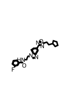 O=C(NCCn1cnc2cc(-c3noc(CCC4CCCC4)n3)ccc21)c1cccc(F)c1